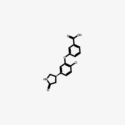 O=C1C[C@H](c2ccc(Cl)c(Oc3cccc(C(=O)O)c3)c2)CN1